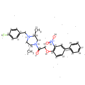 C[C@@H]1CN(Cc2ccc(F)cc2)[C@@H](C)CN1C(=O)COc1ccc(-c2ccccc2)cc1[N+](=O)[O-]